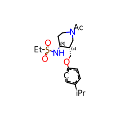 CCS(=O)(=O)N[C@@H]1CCN(C(C)=O)C[C@@H]1COc1ccc(C(C)C)cc1